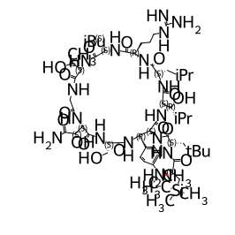 CC[C@H](C)[C@@H]1NC(=O)[C@@H](CCCNC(=N)N)NC(=O)[C@H](CC(C)C)NC(=O)[C@H]([C@H](O)C(C)C)NC(=O)[C@@H](NC(=O)[C@H](CC(C)(C)C)NC(=O)[C@H](N)C[Si](C)(C)C)[C@@H](c2ccc(N(C)C)cc2)NC(=O)[C@H](CO)NC(=O)[C@H]([C@H](O)C(N)=O)NC(=O)CNC(=O)[C@H]([C@H](C)O)NC1=O